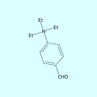 CC[N+](CC)(CC)c1ccc(C=O)cc1